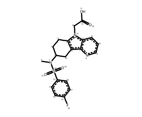 CN(C1CCc2c(c3ncccc3n2CC(=O)O)C1)S(=O)(=O)c1ccc(F)cc1